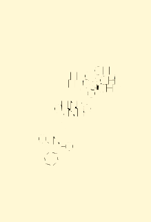 CC(C)(C)[Si](C)(C)OCC(=O)NNC(=O)[C@H]1C[C@H](N2C(=O)c3ccccc3C2=O)C1